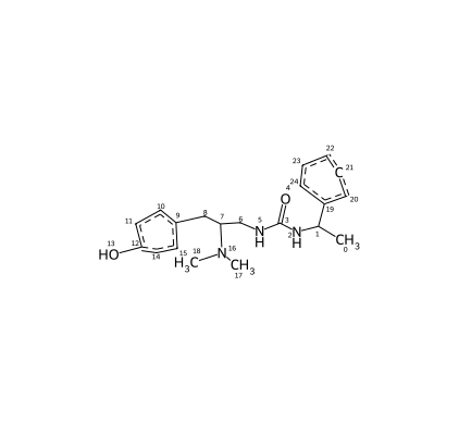 CC(NC(=O)NCC(Cc1ccc(O)cc1)N(C)C)c1ccccc1